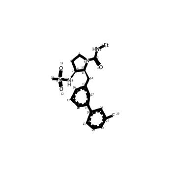 CCNC(=O)N1CC[C@H](NS(C)(=O)=O)[C@@H]1Cc1cccc(-c2cccc(F)c2)c1